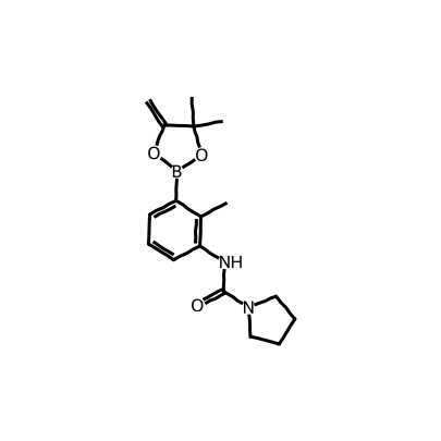 C=C1OB(c2cccc(NC(=O)N3CCCC3)c2C)OC1(C)C